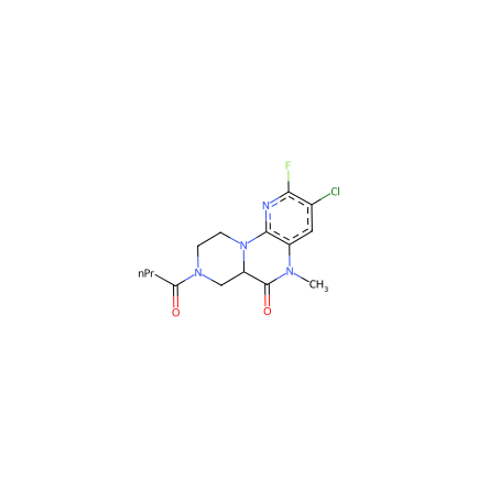 CCCC(=O)N1CCN2c3nc(F)c(Cl)cc3N(C)C(=O)C2C1